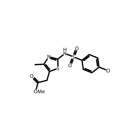 COC(=O)Cc1sc(NS(=O)(=O)c2ccc(Cl)cc2)nc1C